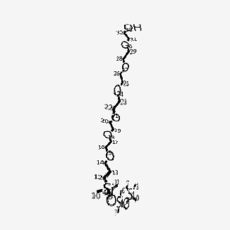 C[Si](C)(C)O[Si](C)(C)O[Si](C)(C)CCCOCCOCCOCCOCCOCCOCCO